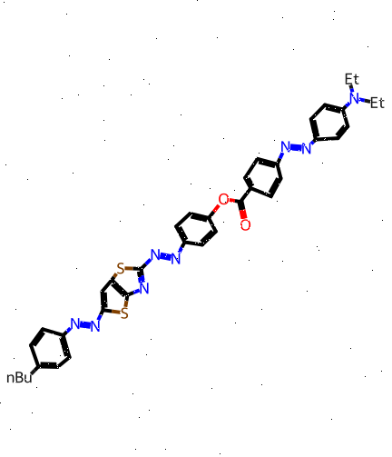 CCCCc1ccc(N=Nc2cc3sc(N=Nc4ccc(OC(=O)c5ccc(N=Nc6ccc(N(CC)CC)cc6)cc5)cc4)nc3s2)cc1